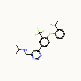 CC(C)NCc1cc(-c2ccc(Sc3ccccc3C(C)C)c(C(F)(F)F)c2)ncn1